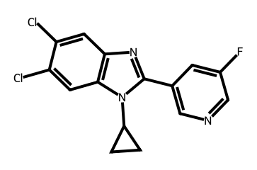 Fc1cncc(-c2nc3cc(Cl)c(Cl)cc3n2C2CC2)c1